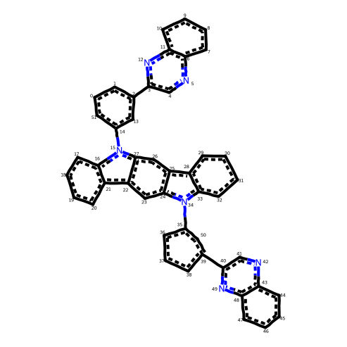 c1cc(-c2cnc3ccccc3n2)cc(-n2c3ccccc3c3cc4c(cc32)c2ccccc2n4-c2cccc(-c3cnc4ccccc4n3)c2)c1